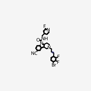 N#Cc1ccc2c(c1)c1c(n2C(=O)NCc2ccnc(F)c2)CCN(C/C=C/c2ccc(Br)c(F)c2F)C1